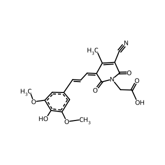 COc1cc(/C=C/C=C2\C(=O)N(CC(=O)O)C(=O)C(C#N)=C2C)cc(OC)c1O